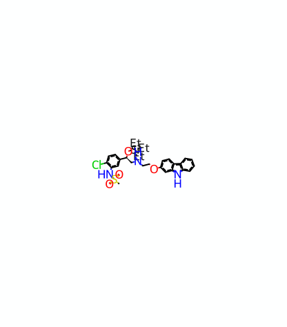 CC[Si](CC)(CC)O[C@@H](CNCCOc1ccc2c(c1)[nH]c1ccccc12)c1ccc(Cl)c(NS(C)(=O)=O)c1